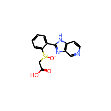 O=C(O)C[S+]([O-])c1ccccc1-c1nc2cnccc2[nH]1